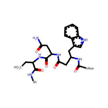 CCCCCCCCCC(=O)NC(CC(=O)NC(CC(N)=O)C(=O)NC(CC(=O)O)C(=O)NC(C)C)Cc1c[nH]c2ccccc12